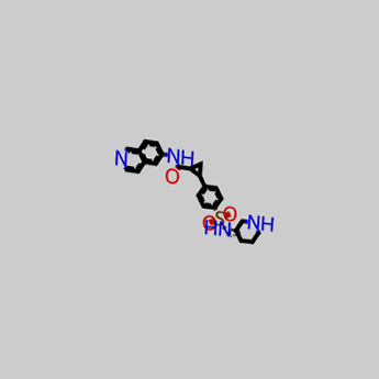 O=C(Nc1ccc2cnccc2c1)C1CC1c1ccc(S(=O)(=O)N[C@H]2CCCNC2)cc1